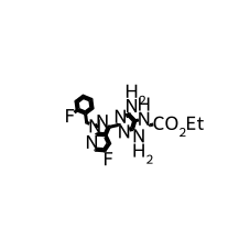 CCOC(=O)CNc1c(N)nc(-c2nn(Cc3ccccc3F)c3ncc(F)cc23)nc1N